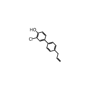 C=CCc1ccc(-c2ccc(O)c(Cl)c2)cc1